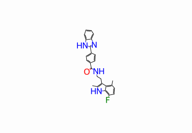 Cc1[nH]c2c(F)ccc(C)c2c1CCNC(=O)c1ccc(-c2nc3ccccc3[nH]2)cc1